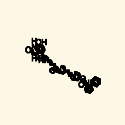 O=C(Nc1ccccc1-c1ccccc1)OC1CCN(CCC2CCN(C(=O)CCCNC[C@@H](O)c3ccc(O)c4[nH]c(=O)ccc34)CC2)CC1